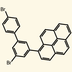 Brc1ccc(-c2cc(Br)cc(-c3ccc4ccc5cccc6ccc3c4c56)c2)cc1